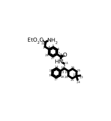 CCOC(=O)[C@@H](N)Cc1ccc(C(=O)NC[C@@H](c2ccccc2)C2CCC(C)(C)CC2)cc1